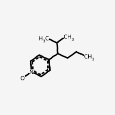 CCCC([C](C)C)c1cc[n+]([O-])cc1